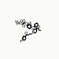 CCC(=O)C1(c2ccccc2Oc2ccccc2)CCN(CCCC(=O)c2ccc(F)cc2)CC1.O.O=C(O)C(=O)O